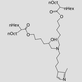 CCCCCCCCC(CCCCCC)C(=O)OCCCCCCN(CCCCC1C=CN=C1C)CC(O)CCCCOC(=O)C(CCCCCC)CCCCCCCC